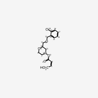 O=C(O)/C=C\C(=O)ON1CCOC(COCc2ccccc2Cl)C1